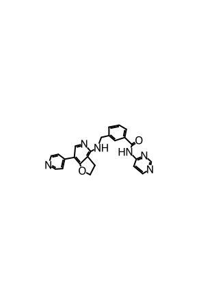 O=C(Nc1ccncn1)c1cccc(CNc2ncc(-c3ccncc3)c3c2CCO3)c1